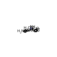 C/C(N)=C(\CNCc1ccc(N)cc1)C(=O)Nc1ccc2c(c1)OCO2